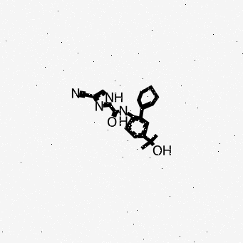 CC(C)(O)c1ccc(NC(=O)c2nc(C#N)c[nH]2)c(C2=CCCCC2)c1